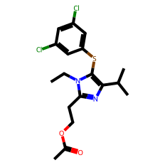 CCn1c(CCOC(C)=O)nc(C(C)C)c1Sc1cc(Cl)cc(Cl)c1